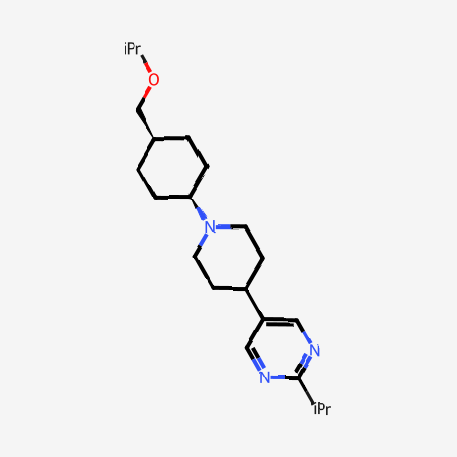 CC(C)OC[C@H]1CC[C@@H](N2CCC(c3cnc(C(C)C)nc3)CC2)CC1